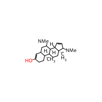 CNC1CC2C=C(O)CC[C@]2(C)[C@@H]2CC[C@]3(C)C(NC)C=C[C@H]3[C@H]12